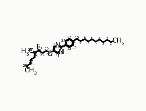 CCCCCCCCCCCc1ccc(-c2ncc(OCCC(F)C(C)CCCCC)cn2)cc1